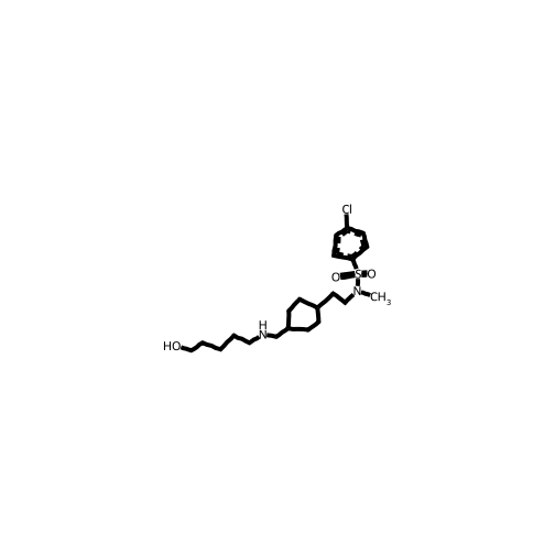 CN(CCC1CCC(CNCCCCCO)CC1)S(=O)(=O)c1ccc(Cl)cc1